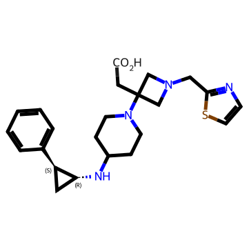 O=C(O)CC1(N2CCC(N[C@@H]3C[C@H]3c3ccccc3)CC2)CN(Cc2nccs2)C1